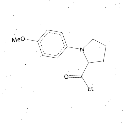 CCC(=O)C1CCCN1c1ccc(OC)cc1